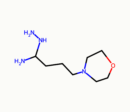 NNC(N)CCCN1CCOCC1